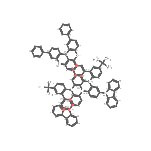 CC(C)(C)c1ccc(N2c3cc(-n4c5ccccc5c5ccccc54)ccc3B3c4ccc(-n5c6ccccc6c6ccccc65)cc4N(c4ccc(C(C)(C)C)cc4-c4ccccc4)c4cc(-c5cc6c7c(c5)Oc5ccc(-c8ccccc8)cc5B7c5ccc(-c7ccccc7)cc5O6)cc2c43)c(-c2ccccc2)c1